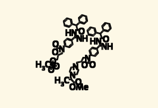 COC(=O)C(C)N1CCN(CC2CN(c3ccc(C(=N)NC(=O)C(c4ccccc4)c4ccccc4)cc3)C(=O)O2)CC1.CS(=O)(=O)OCC1CN(c2ccc(C(=N)NC(=O)C(c3ccccc3)c3ccccc3)cc2)C(=O)O1